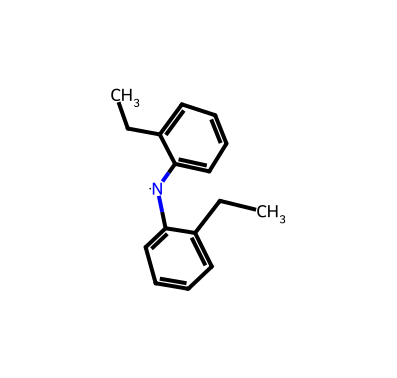 CCc1ccccc1[N]c1ccccc1CC